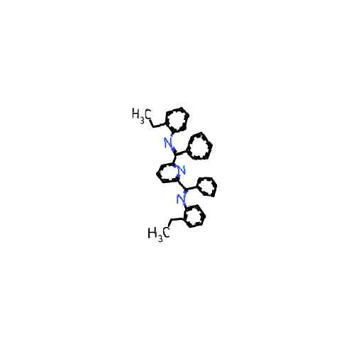 CCc1ccccc1/N=C(\c1ccccc1)c1cccc(/C(=N/c2ccccc2CC)c2ccccc2)n1